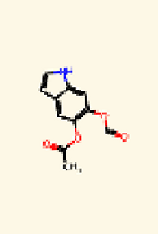 CC(=O)Oc1cc2cc[nH]c2cc1OC=O